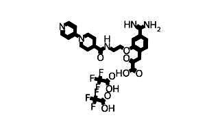 N=C(N)c1ccc(CC(=O)C(=O)O)c(OCCNC(=O)C2CCN(c3ccncc3)CC2)c1.O=C(O)C(F)(F)F.O=C(O)C(F)(F)F